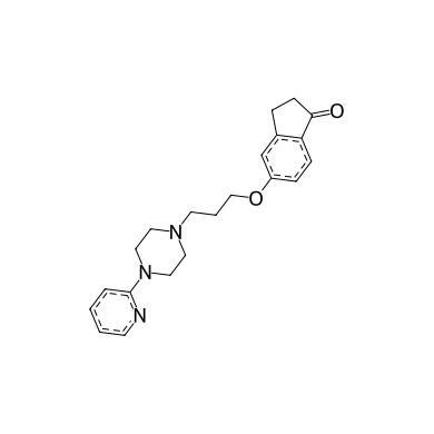 O=C1CCc2cc(OCCCN3CCN(c4ccccn4)CC3)ccc21